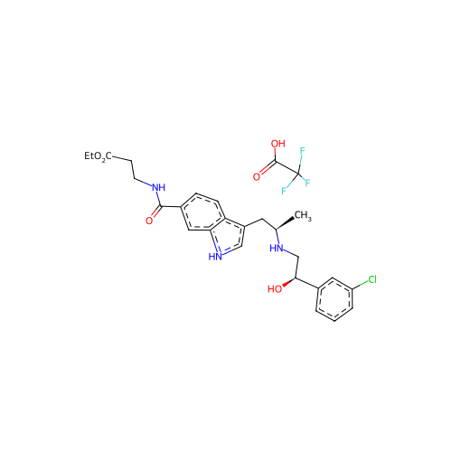 CCOC(=O)CCNC(=O)c1ccc2c(C[C@@H](C)NC[C@H](O)c3cccc(Cl)c3)c[nH]c2c1.O=C(O)C(F)(F)F